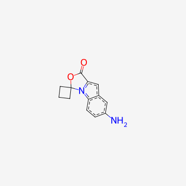 Nc1ccc2c(c1)cc1n2C2(CCC2)OC1=O